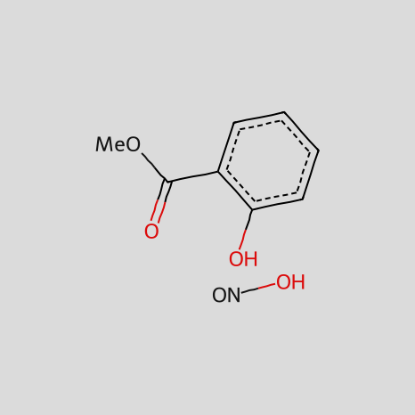 COC(=O)c1ccccc1O.O=NO